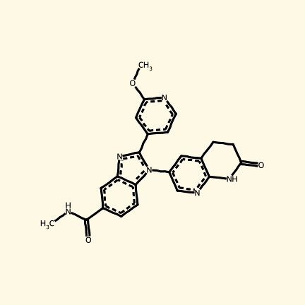 CNC(=O)c1ccc2c(c1)nc(-c1ccnc(OC)c1)n2-c1cnc2c(c1)CCC(=O)N2